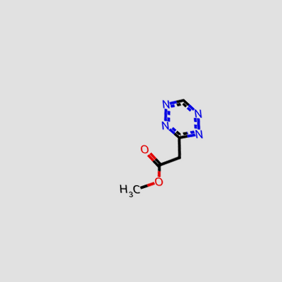 COC(=O)Cc1nncnn1